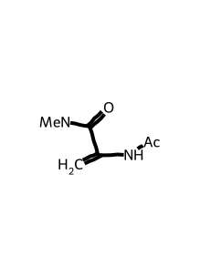 C=C(NC(C)=O)C(=O)NC